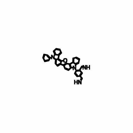 N=Cc1ccc(-n2c3ccccc3c3c4oc5c(ccc6c5c5ccccc5n6-c5ccccc5)c4ccc32)c(C=N)c1